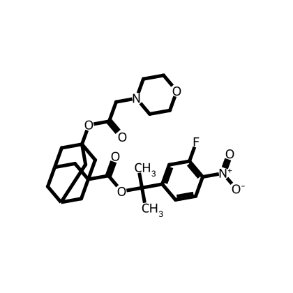 CC(C)(OC(=O)C12CC3CC(CC(OC(=O)CN4CCOCC4)(C3)C1)C2)c1ccc([N+](=O)[O-])c(F)c1